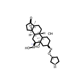 C[C@]12CC[C@H]3[C@@H](C/C(=N\O)[C@@]4(O)CC(=NO[C@H]5CCNC5)CC[C@]34C)[C@@H]1CCC2=O.Cl